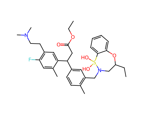 CCOC(=O)CC(c1ccc(C)c(CN2CC(CC)Oc3ccccc3S2(O)O)c1)c1cc(CCN(C)C)c(F)cc1C